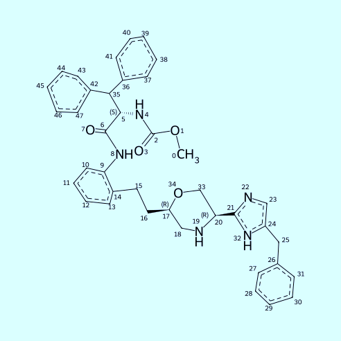 COC(=O)N[C@H](C(=O)Nc1ccccc1CC[C@@H]1CN[C@H](c2ncc(Cc3ccccc3)[nH]2)CO1)C(c1ccccc1)c1ccccc1